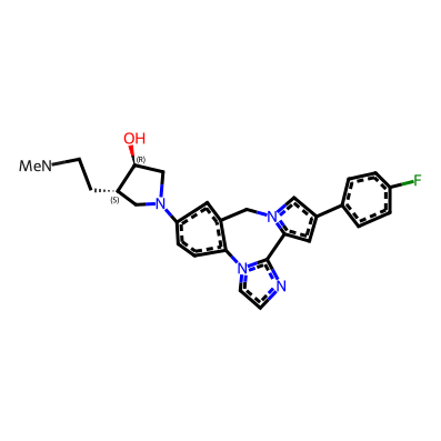 CNCC[C@H]1CN(c2ccc3c(c2)Cn2cc(-c4ccc(F)cc4)cc2-c2nccn2-3)C[C@@H]1O